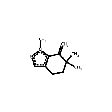 C=C1c2c(cnn2C)CCC1(C)C